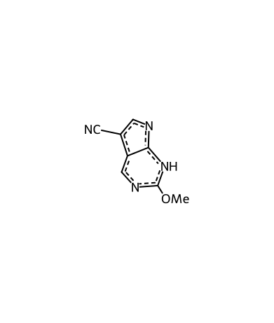 COc1ncc2c(C#N)cnc-2[nH]1